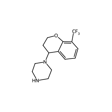 FC(F)(F)c1cccc2c1OCCC2N1CCNCC1